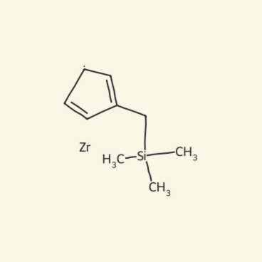 C[Si](C)(C)CC1=C[CH]C=C1.[Zr]